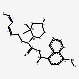 C/C=C\C=C/CCN(C(=O)NC(C)c1ccc(OC)c2ccccc12)C1CCN(C)CC1(C)C